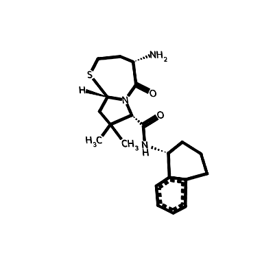 CC1(C)C[C@@H]2SCC[C@H](N)C(=O)N2[C@@H]1C(=O)N[C@@H]1CCCc2ccccc21